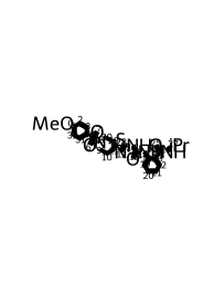 COc1ccc(S(=O)(=O)N2CCc3nc(NC(=O)Nc4ccccc4C(=O)NC(C)C)sc3C2)cc1